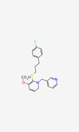 O=C(O)OC1=C(SCCCc2ccc(F)cc2)N(Cc2cccnc2)CC=C1